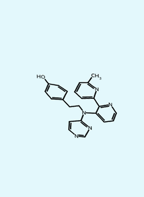 Cc1cccc(-c2ncccc2N(CCc2ccc(O)cc2)c2ccncn2)n1